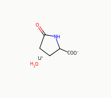 O.O=C1CCC(C(=O)[O-])N1.[Li+]